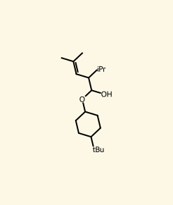 CC(C)=CC(C(C)C)C(O)OC1CCC(C(C)(C)C)CC1